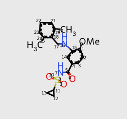 COc1ccc(C(=O)NS(=O)(=O)C2CC2)cc1NCc1c(C)cccc1C